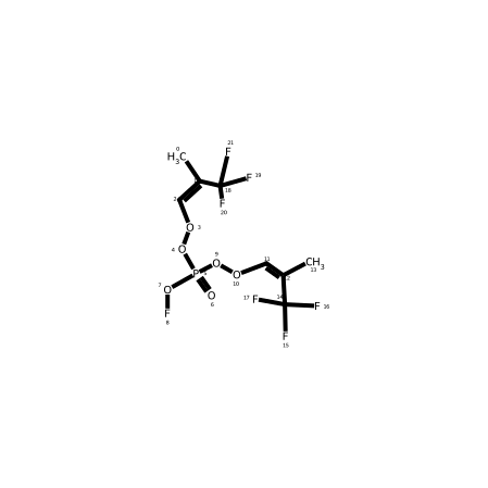 CC(=COOP(=O)(OF)OOC=C(C)C(F)(F)F)C(F)(F)F